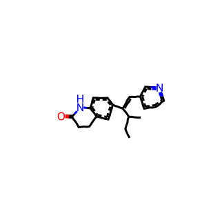 CCC(C)C(=Cc1cccnc1)c1ccc2c(c1)CCC(=O)N2